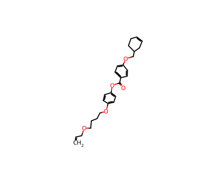 C=CCOCCCCOc1ccc(OC(=O)c2ccc(OCC3CC=CCC3)cc2)cc1